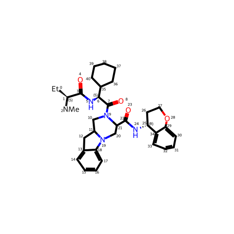 CC[C@H](NC)C(=O)N[C@H](C(=O)N1CC2Cc3ccccc3N2CC1C(=O)N[C@@H]1CCOc2ccccc21)C1CCCCC1